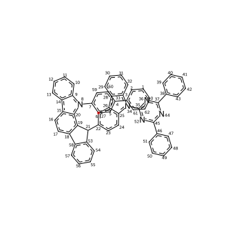 c1ccc(-c2ccc(-n3c4ccccc4c4ccc5c(c43)C(c3ccc4c(c3)c3ccccc3n4-c3nc(-c4ccccc4)nc(-c4ccccc4)n3)c3ccccc3-5)cc2)cc1